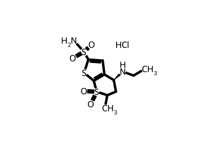 CCN[C@H]1CC(C)S(=O)(=O)c2sc(S(N)(=O)=O)cc21.Cl